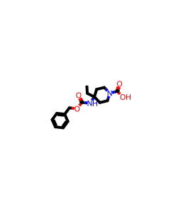 CCC1(NC(=O)OCc2ccccc2)CCN(C(=O)O)CC1